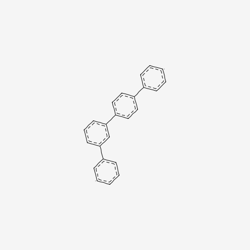 [c]1ccc(-c2ccc(-c3cccc(-c4c[c]ccc4)c3)cc2)cc1